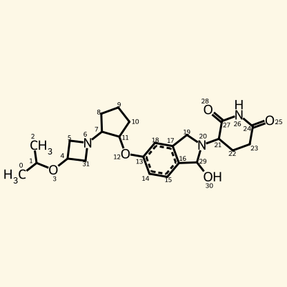 CC(C)OC1CN(C2CCCC2Oc2ccc3c(c2)CN(C2CCC(=O)NC2=O)C3O)C1